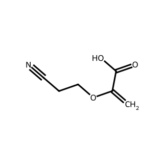 C=C(OCCC#N)C(=O)O